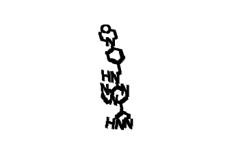 c1cn2c(-c3cn[nH]c3)cnc(NCc3ccc(N4CCOCC4)cc3)c2n1